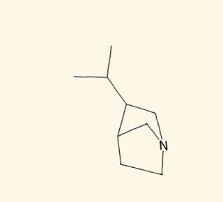 CC(C)C1CN2CCC1C2